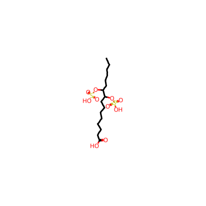 CCCCCCC(OS(=O)(=O)O)C(CCCCCCCC(=O)O)OS(=O)(=O)O